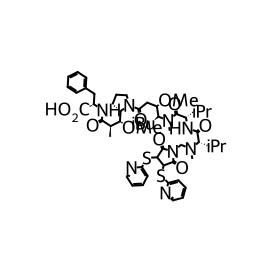 CC[C@H](C)C([C@@H](CC(=O)N1CCC[C@H]1[C@H](OC)[C@@H](C)C(=O)N[C@@H](Cc1ccccc1)C(=O)O)OC)N(C)C(=O)[C@@H](NC(=O)[C@H](C(C)C)N(C)CN1C(=O)C(Sc2ccccn2)C(Sc2ccccn2)C1=O)C(C)C